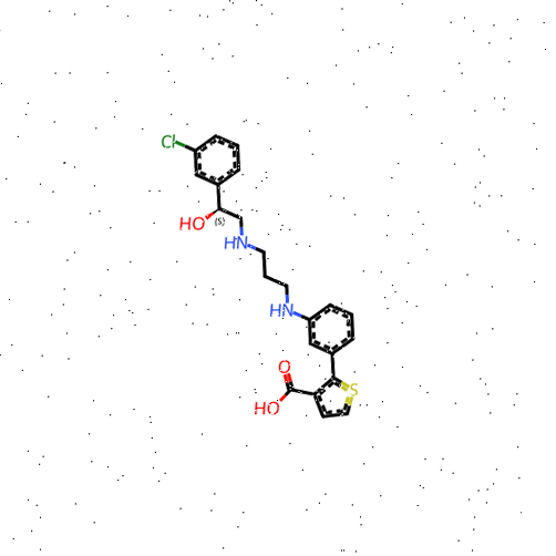 O=C(O)c1ccsc1-c1cccc(NCCCNC[C@@H](O)c2cccc(Cl)c2)c1